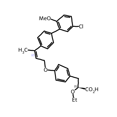 CCO[C@@H](Cc1ccc(OC/C=C(/C)c2ccc(-c3cc(Cl)ccc3OC)cc2)cc1)C(=O)O